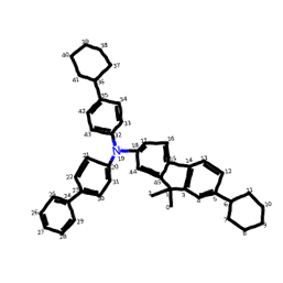 CC1(C)c2cc(C3CCCCC3)ccc2-c2ccc(N(c3ccc(-c4ccccc4)cc3)c3ccc(C4CCCCC4)cc3)cc21